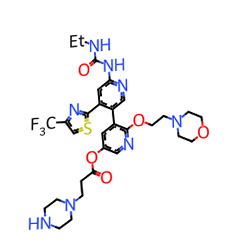 CCNC(=O)Nc1cc(-c2nc(C(F)(F)F)cs2)c(-c2cc(OC(=O)CCN3CCNCC3)cnc2OCCN2CCOCC2)cn1